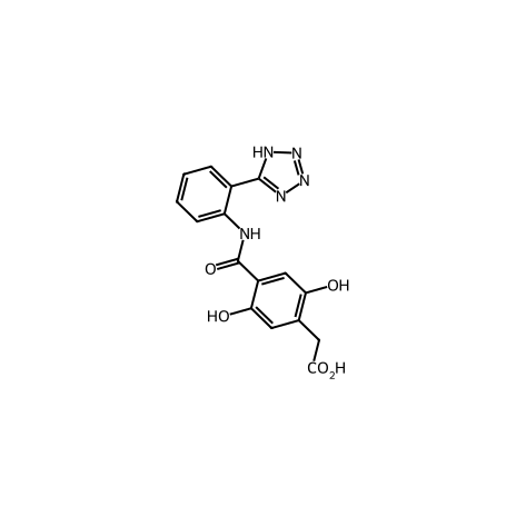 O=C(O)Cc1cc(O)c(C(=O)Nc2ccccc2-c2nnn[nH]2)cc1O